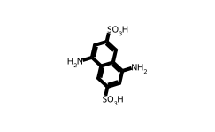 Nc1cc(S(=O)(=O)O)cc2c(N)cc(S(=O)(=O)O)cc12